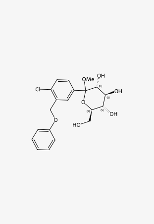 COC1(c2ccc(Cl)c(COc3ccccc3)c2)O[C@H](CO)[C@@H](O)[C@H](O)[C@H]1O